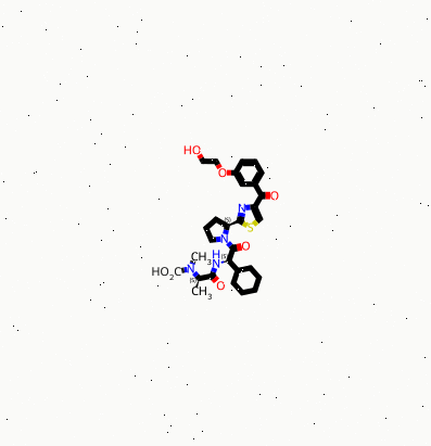 C[C@@H](C(=O)N[C@H](C(=O)N1CCC[C@H]1c1nc(C(=O)c2cccc(OCCO)c2)cs1)C1CCCCC1)N(C)C(=O)O